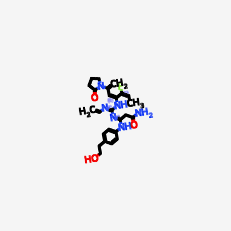 C=C/N=C(\N=C(/CC(N)=O)Nc1ccc(CCO)cc1)NC(=C/C(=C)N1CCCC1=O)/C(F)=C\C